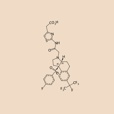 O=C(O)Cc1csc(NC(=O)CN2CC[C@@]3(S(=O)(=O)c4ccc(F)cc4)c4ccc(C(F)(C(F)(F)F)C(F)(F)F)cc4CC[C@@H]23)n1